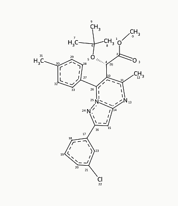 COC(=O)[C@@H](OC(C)(C)C)c1c(C)nc2cc(-c3cccc(Cl)c3)nn2c1-c1ccc(C)cc1